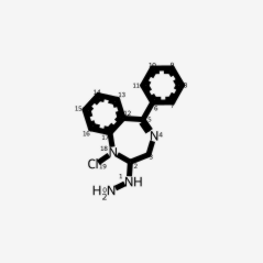 NNC1CN=C(c2ccccc2)c2ccccc2N1Cl